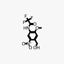 COc1cc(CO)c([N+](=O)[O-])cc1NC(=O)C(F)(F)F